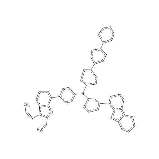 C=Cc1oc2c(-c3ccc(N(c4ccc(-c5ccc(-c6ccccc6)cc5)cc4)c4cccc(-c5cccc6c5oc5ccccc56)c4)cc3)cccc2c1/C=C\C